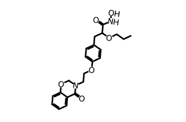 CCCOC(Cc1ccc(OCCN2COc3ccccc3C2=O)cc1)C(=O)NO